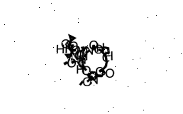 C=C[C@@H]1C[C@]1(NC(=O)[C@@H]1C[C@@H]2CN1C(=O)[C@H](C(C)(C)C)NC(=O)O[C@H]1CCC[C@@H]1CCCc1cc3c(cc(OCC)nc3cc1OC)O2)C(=O)NS(=O)(=O)C1CC1